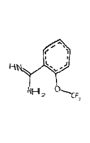 N=C(N)c1ccccc1OC(F)(F)F